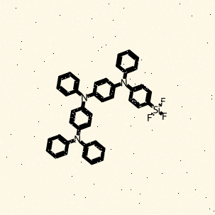 F[Si](F)(F)c1ccc(N(c2ccccc2)c2ccc(N(c3ccccc3)c3ccc(N(c4ccccc4)c4ccccc4)cc3)cc2)cc1